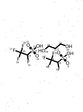 O=S(=O)(O)C(F)C(F)(F)F.O=S(=O)(O)C(F)C(F)(F)F.OCCCO